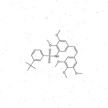 COc1cc(/C=C\c2cc(OC)c(OC)c(OC)c2)cc(NS(=O)(=O)c2cccc(C(C)(C)C)c2)c1OC